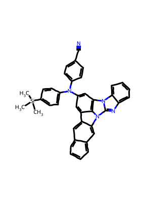 C[Si](C)(C)c1ccc(N(c2ccc(C#N)cc2)c2cc3c4cc5ccccc5cc4n4c3c(c2)n2c3ccccc3nc24)cc1